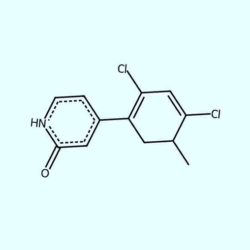 CC1CC(c2cc[nH]c(=O)c2)=C(Cl)C=C1Cl